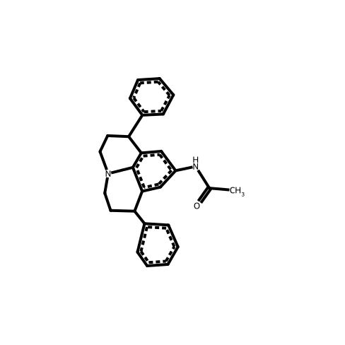 CC(=O)Nc1cc2c3c(c1)C(c1ccccc1)CCN3CCC2c1ccccc1